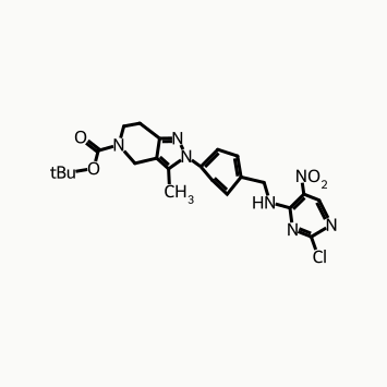 Cc1c2c(nn1-c1ccc(CNc3nc(Cl)ncc3[N+](=O)[O-])cc1)CCN(C(=O)OC(C)(C)C)C2